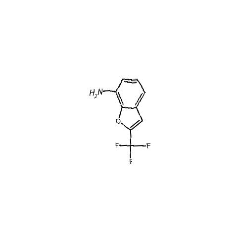 Nc1cccc2cc(C(F)(F)F)oc12